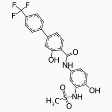 CS(=O)(=O)Nc1cc(NC(=O)c2ccc(-c3ccc(C(F)(F)F)cc3)cc2O)ccc1O